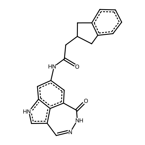 O=C(CC1Cc2ccccc2C1)Nc1cc2c3c(c[nH]c3c1)C=NNC2=O